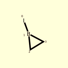 IB1CC1